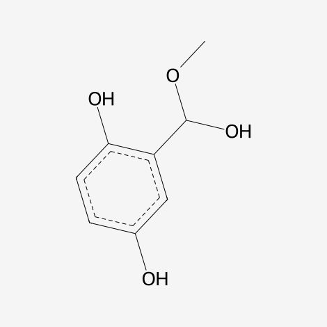 COC(O)c1cc(O)ccc1O